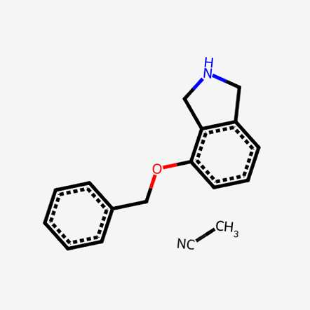 CC#N.c1ccc(COc2cccc3c2CNC3)cc1